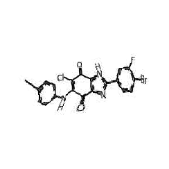 Cc1ccc(NC2=C(Cl)C(=O)c3[nH]c(-c4ccc(Br)c(F)c4)nc3C2=O)cc1